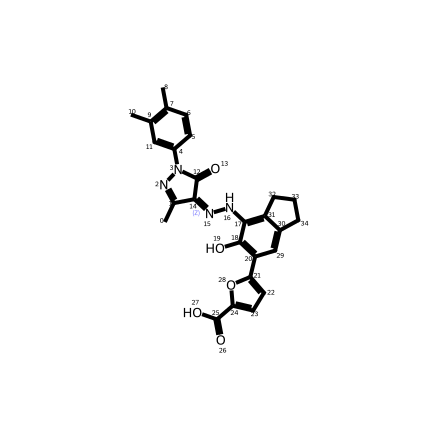 CC1=NN(c2ccc(C)c(C)c2)C(=O)/C1=N\Nc1c(O)c(-c2ccc(C(=O)O)o2)cc2c1CCC2